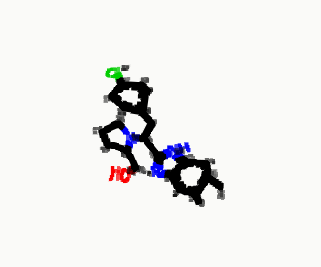 Cc1cc2nc(C(Cc3ccc(Cl)cc3)N3CCCC3CO)[nH]c2cc1C